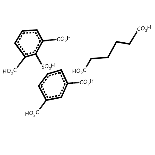 O=C(O)CCCCC(=O)O.O=C(O)c1cccc(C(=O)O)c1.O=C(O)c1cccc(C(=O)O)c1S(=O)(=O)O